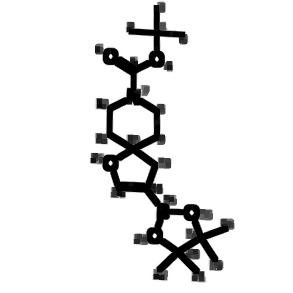 CC(C)(C)OC(=O)N1CCC2(CC1)CC(B1OC(C)(C)C(C)(C)O1)=CO2